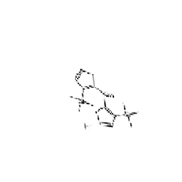 C[Si](C)(C)C1=[C]([Sm][C]2=C([Si](C)(C)C)C=CC2)CC=C1.[H-]